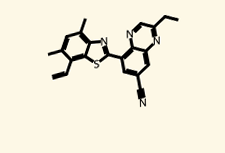 C=Cc1c(C)cc(C)c2nc(-c3cc(C#N)cc4nc(CC)cnc34)sc12